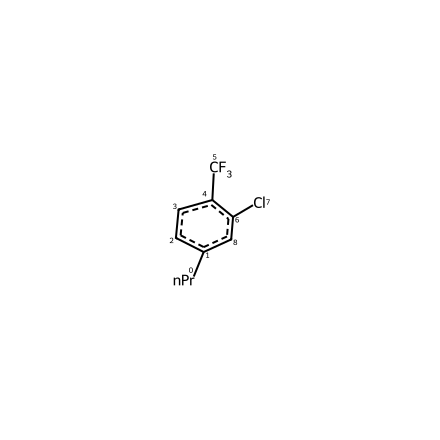 CCCc1ccc(C(F)(F)F)c(Cl)c1